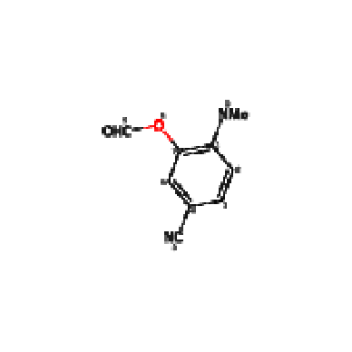 CNc1ccc(C#N)cc1OC=O